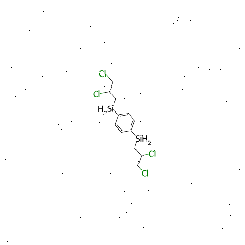 ClCC(Cl)C[SiH2]c1ccc([SiH2]CC(Cl)CCl)cc1